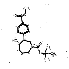 COC(=O)c1ccc([C@@H]2CN(C(=O)OC(C)(C)C)CCC[C@@H]2O)cc1